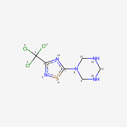 ClC(Cl)(Cl)c1nsc(N2CNCNC2)n1